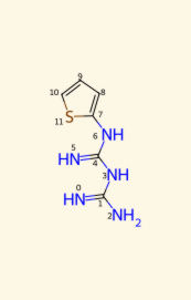 N=C(N)NC(=N)Nc1cccs1